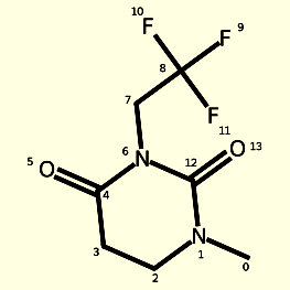 CN1CCC(=O)N(CC(F)(F)F)C1=O